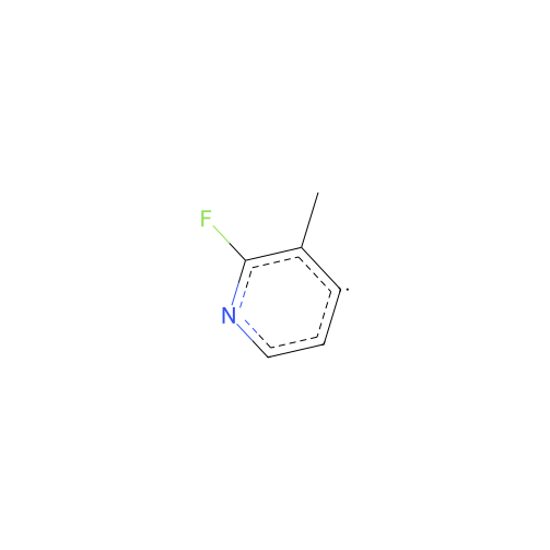 Cc1[c]ccnc1F